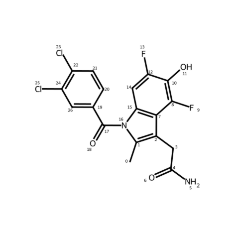 Cc1c(CC(N)=O)c2c(F)c(O)c(F)cc2n1C(=O)c1ccc(Cl)c(Cl)c1